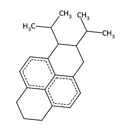 CC(C)C1Cc2ccc3c4c(ccc(c24)C1C(C)C)CCC3